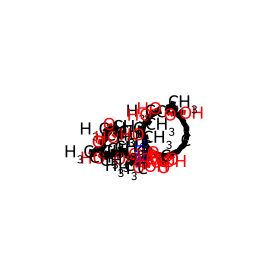 C/C1=C\CC(C(C)C(O)C(NC(=O)C(C)C(O)CCC(C)C(O)/C(C)=C/C(C)(C)C(O)C(CC(=O)/C=C/C(C)(C)C(=O)C(C)C(O)C(C)C)CC(C)C)C(C)O)OC(=O)C(C(O)C(=O)O)CC(=O)/C=C/C=C/CC/C=C/C=C/C(CO)C2CC(C)CC(CC(O)C(C)C(O)/C(C)=C/C(C)C1O)O2